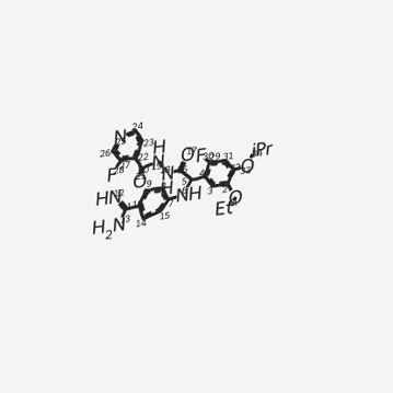 CCOc1cc(C(Nc2ccc(C(=N)N)cc2)C(=O)NNC(=O)c2ccncc2F)c(F)cc1OC(C)C